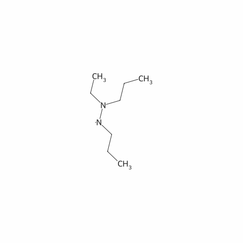 CCC[N]N(CC)CCC